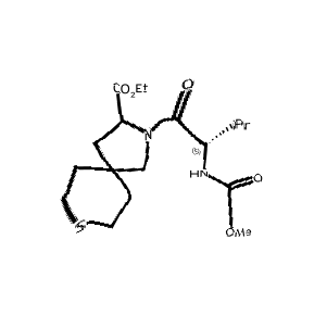 CCOC(=O)C1CC2(CCSCC2)CN1C(=O)[C@@H](NC(=O)OC)C(C)C